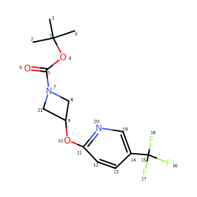 CC(C)(C)OC(=O)N1CC(Oc2ccc(C(F)(F)F)cn2)C1